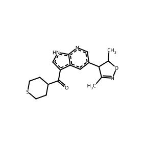 CC1=NOC(C)C1c1cnc2[nH]cc(C(=O)C3CCSCC3)c2c1